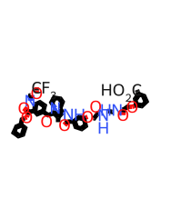 Cc1c(NC(=O)c2cccc(OCC(=O)NCCNC(=O)COc3cccc(C(=O)O)c3)c2)c2ccccn2c1C(=O)c1ccc(/N=C\OC(F)(F)F)c(C(=O)OCc2ccccc2)c1